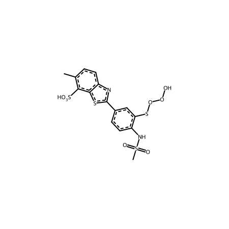 Cc1ccc2nc(-c3ccc(NS(C)(=O)=O)c(SOOO)c3)sc2c1S(=O)(=O)O